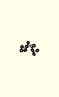 c1ccc(-n2c3ccccc3c3ccc(-c4nc(-n5c6ccccc6c6cc7c(cc65)c5cccc6c5n7-c5ccccc5-c5ccccc5-6)nc5ccccc45)cc32)cc1